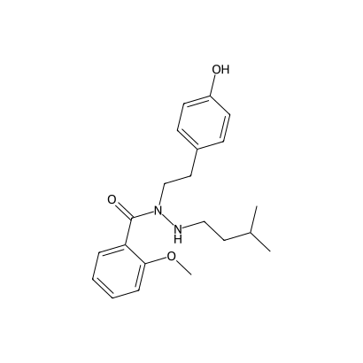 COc1ccccc1C(=O)N(CCc1ccc(O)cc1)NCCC(C)C